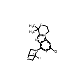 CC1(C)OCCn2c1nc1c(N3CC4OC[C@H]43)nc(Cl)nc12